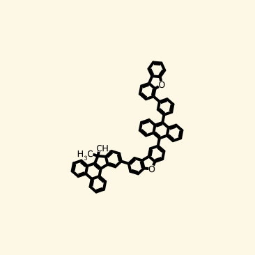 CC1(C)c2ccc(-c3ccc4oc5ccc(-c6c7ccccc7c(-c7cccc(-c8cccc9c8oc8ccccc89)c7)c7ccccc67)cc5c4c3)cc2-c2c1c1ccccc1c1ccccc21